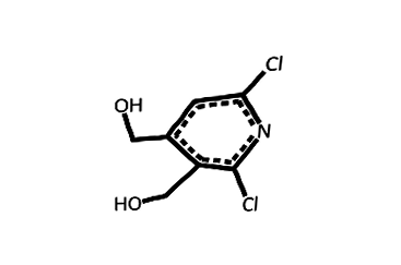 OCc1cc(Cl)nc(Cl)c1CO